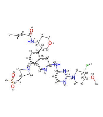 CC#CC(=O)N[C@@H]1CCOC[C@H]1c1ccc(N2CC(CS(C)(=O)=O)C2)c2cnc(Nc3ccnc(N4CC[C@@H](OC)[C@@H](F)C4)n3)cc12